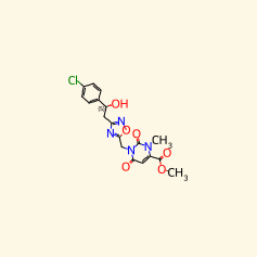 COC(=O)c1cc(=O)n(Cc2nc(C[C@H](O)c3ccc(Cl)cc3)no2)c(=O)n1C